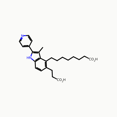 Cc1c(-c2ccncc2)[nH]c2ccc(CCC(=O)O)c(CCCCCCCC(=O)O)c12